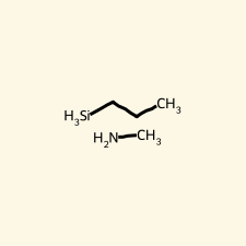 CCC[SiH3].CN